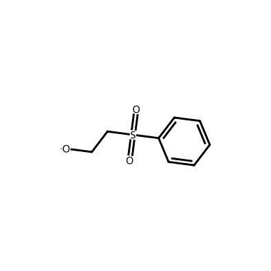 [O]CCS(=O)(=O)c1ccccc1